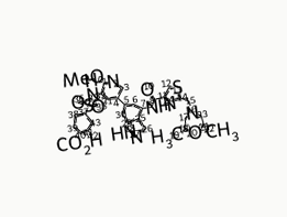 COc1ncc(-c2cc(NC(=O)c3csc(CN4C[C@H](C)O[C@@H](C)C4)n3)c3cn[nH]c3c2)cc1NS(=O)(=O)c1cccc(C(=O)O)c1